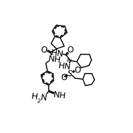 N=C(N)c1ccc(CNC(=O)C2(NC(=O)[C@H](NS(=O)(=O)CC3CCCCC3)C3CCCCC3)Cc3ccccc3C2)cc1